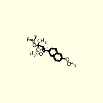 CO/C(=C\C(C)(C)OB(F)F)c1ccc2cc(OC)ccc2c1